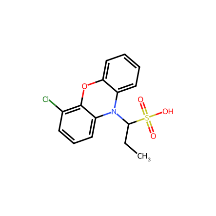 CCC(N1c2ccccc2Oc2c(Cl)cccc21)S(=O)(=O)O